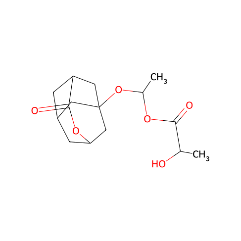 CC(OC(=O)C(C)O)OC12CC3CC(C1)OC(=O)C(C3)C2